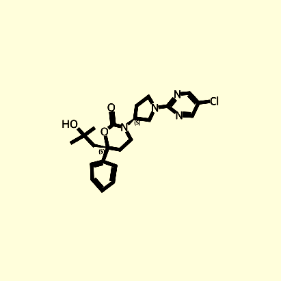 CC(C)(O)C[C@]1(c2ccccc2)CCN([C@H]2CCN(c3ncc(Cl)cn3)C2)C(=O)O1